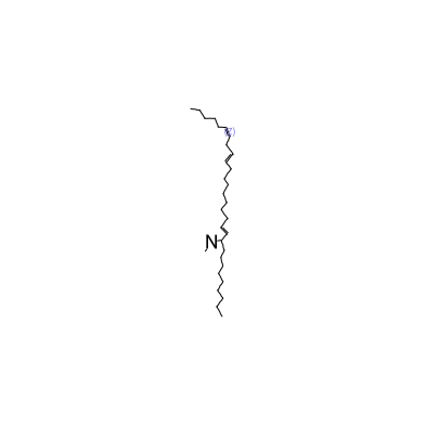 CCCCC/C=C\CC=CCCCCCCCC=CC(CCCCCCCCC)N(C)C